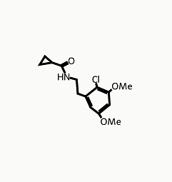 COc1cc(CCNC(=O)C2CC2)c(Cl)c(OC)c1